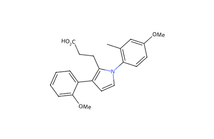 COc1ccc(-n2ccc(-c3ccccc3OC)c2CCC(=O)O)c(C)c1